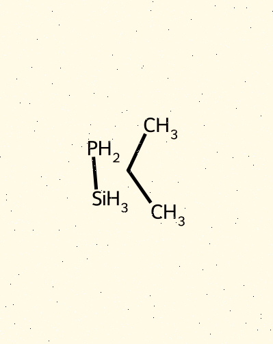 CCC.[SiH3]P